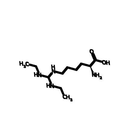 CCNC(NCC)NCCCC[C@@H](N)C(=O)O